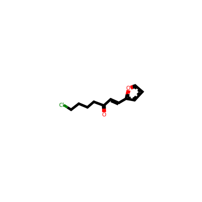 O=C(C=Cc1ccco1)CCCCCl